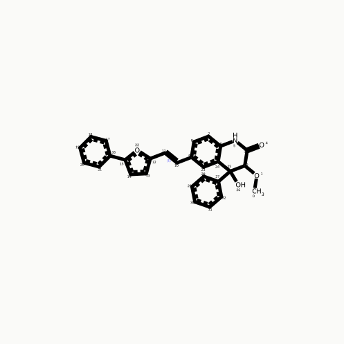 COC1C(=O)Nc2ccc(/C=C/c3ccc(-c4ccccc4)o3)cc2C1(O)c1ccccc1